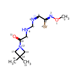 CON=C(Br)/C=N\CNCC(=O)N1CC(C)(C)C1